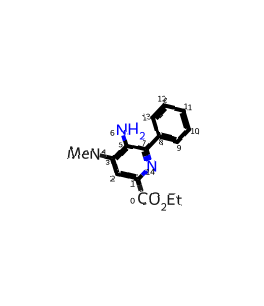 CCOC(=O)c1cc(NC)c(N)c(-c2ccccc2)n1